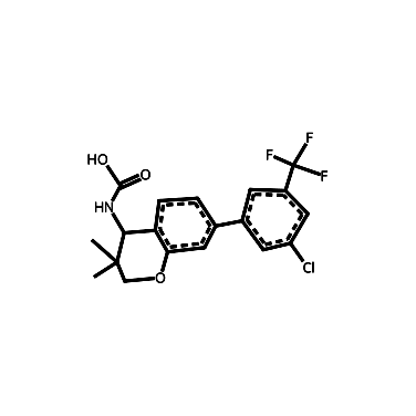 CC1(C)COc2cc(-c3cc(Cl)cc(C(F)(F)F)c3)ccc2C1NC(=O)O